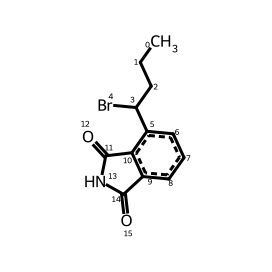 CCCC(Br)c1cccc2c1C(=O)NC2=O